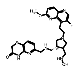 COc1ccc2ncc(F)c(CCN3CC(CNO)[C@H](CNCc4ccc5c(n4)NC(=O)CS5)C3)c2n1